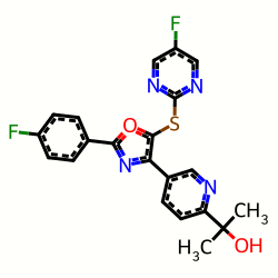 CC(C)(O)c1ccc(-c2nc(-c3ccc(F)cc3)oc2Sc2ncc(F)cn2)cn1